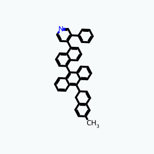 Cc1ccc2c(c1)C=CC(c1c3ccccc3c(-c3cccc4c(-c5ccncc5-c5ccccc5)cccc34)c3ccccc13)C2